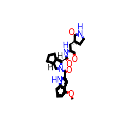 COc1cccc2[nH]c(C(=O)N3C[C@@H]4CCC[C@@H]4[C@H]3C(=O)NC(C=O)C[C@@H]3CCNC3=O)cc12